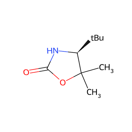 CC(C)(C)[C@@H]1NC(=O)OC1(C)C